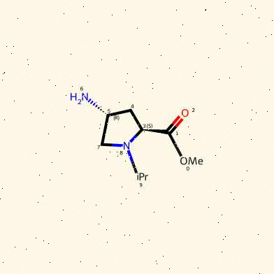 COC(=O)[C@@H]1C[C@@H](N)CN1C(C)C